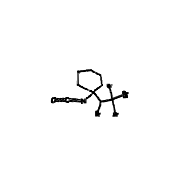 O=C=NC1(C(Br)C(Br)(Br)Br)CCCCC1